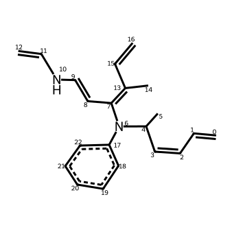 C=C/C=C\C(C)N(C(/C=C/NC=C)=C(\C)C=C)c1ccccc1